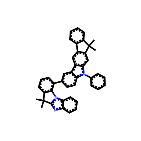 CC1(C)c2ccccc2-c2cc3c4cc(-c5cccc6c5-n5c(nc7ccccc75)C6(C)C)ccc4n(-c4ccccc4)c3cc21